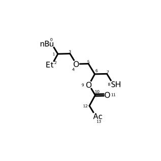 CCCCC(CC)COCC(CS)OC(=O)CC(C)=O